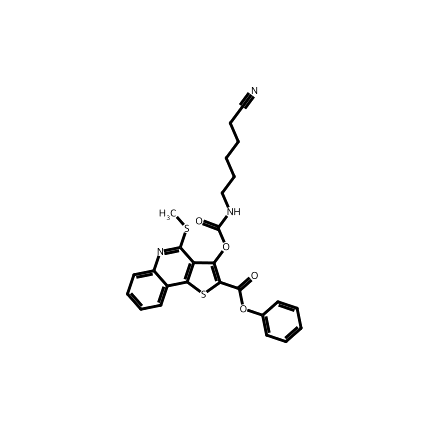 CSc1nc2ccccc2c2sc(C(=O)Oc3ccccc3)c(OC(=O)NCCCCCC#N)c12